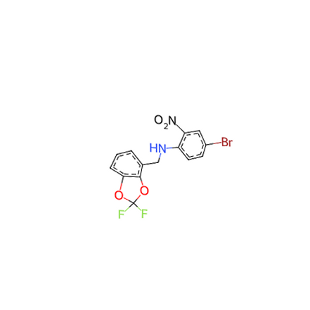 O=[N+]([O-])c1cc(Br)ccc1NCc1cccc2c1OC(F)(F)O2